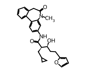 CN1C(=O)Cc2ccccc2-c2ccc(NC(=O)[C@H](CC3CC3)[C@@H](O)CCc3ccco3)cc21